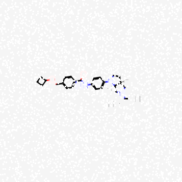 CC(C)N1C[C@H]2CCN(c3ccc(NC(=O)c4ccc(COC5CCC5)cc4)cc3)[C@H]2C1